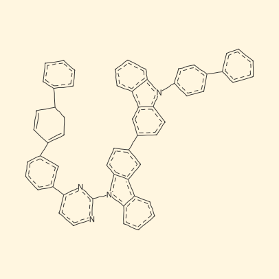 C1=CC(c2ccccc2)CC=C1c1cccc(-c2ccnc(-n3c4ccccc4c4cc(-c5ccc6c(c5)c5ccccc5n6-c5ccc(-c6ccccc6)cc5)ccc43)n2)c1